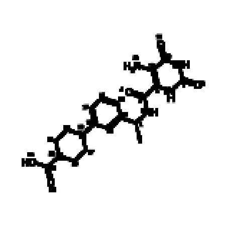 C[C@H](NC(=O)c1[nH]c(=O)[nH]c(=O)c1N)c1cccc(N2CCN(C(=O)O)CC2)c1